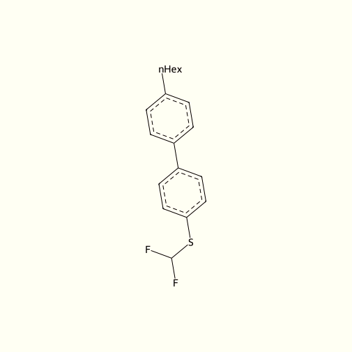 CCCCCCc1ccc(-c2ccc(SC(F)F)cc2)cc1